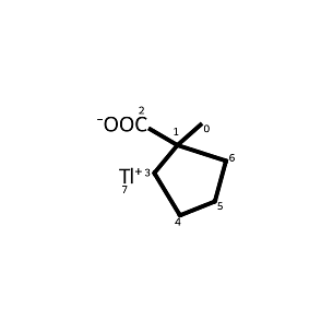 CC1(C(=O)[O-])CCCC1.[Tl+]